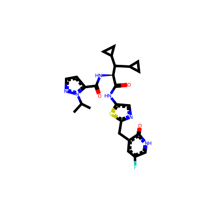 CC(C)n1nccc1C(=O)N[C@H](C(=O)Nc1cnc(Cc2cc(F)c[nH]c2=O)s1)C(C1CC1)C1CC1